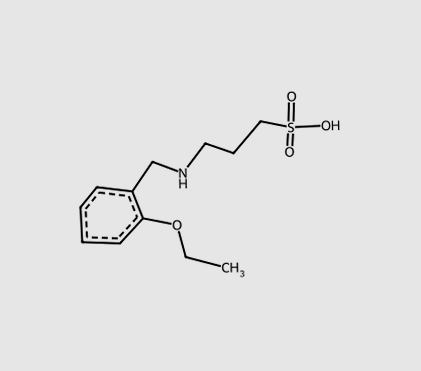 CCOc1ccccc1CNCCCS(=O)(=O)O